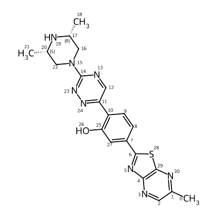 Cc1cnc2nc(-c3ccc(-c4cnc(N5C[C@@H](C)N[C@@H](C)C5)nn4)c(O)c3)sc2n1